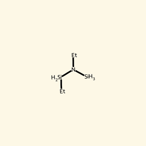 CC[SiH2]N([SiH3])CC